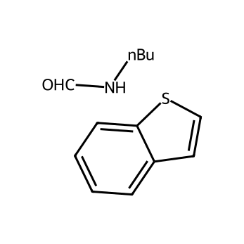 CCCCNC=O.c1ccc2sccc2c1